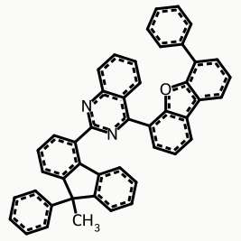 CC1(c2ccccc2)c2ccccc2-c2c(-c3nc(-c4cccc5c4oc4c(-c6ccccc6)cccc45)c4ccccc4n3)cccc21